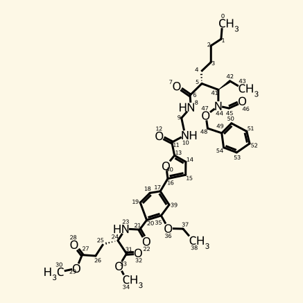 CCCCC[C@@H](C(=O)NCNC(=O)c1ccc(-c2ccc(C(=O)N[C@@H](CCC(=O)OC)C(=O)OC)c(OCC)c2)o1)[C@@H](CC)N(C=O)OCc1ccccc1